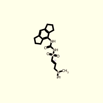 CC(C)N(C)C/C=C/S(=O)(=O)NC(=O)Nc1c2c(cc3c1CCC3)CCC2